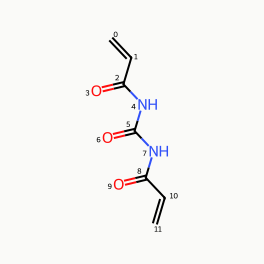 C=CC(=O)NC(=O)NC(=O)C=C